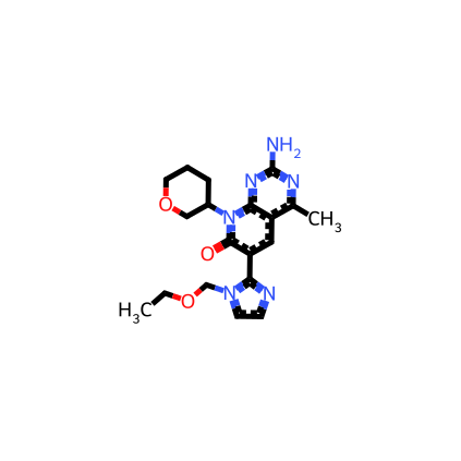 CCOCn1ccnc1-c1cc2c(C)nc(N)nc2n(C2CCCOC2)c1=O